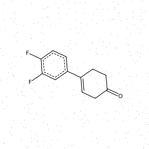 O=C1CC=C(c2ccc(F)c(F)c2)CC1